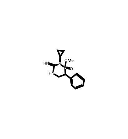 COP1(=O)C(c2ccccc2)CNC(=N)N1C1CC1